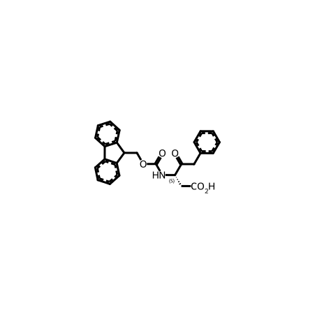 O=C(O)C[C@H](NC(=O)OCC1c2ccccc2-c2ccccc21)C(=O)Cc1ccccc1